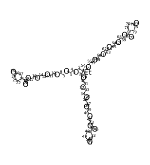 CCC(COCCOCCOCCOCCOCCOC(=O)C1CCC2OC2C1)(COCCOCCOCCOCCOCCOC(=O)C1CCC2OC2C1)COCCOCCOCCOCCOCCOC(=O)C1CCC2OC2C1